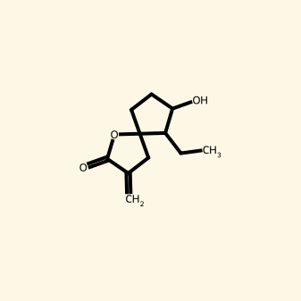 C=C1CC2(CCC(O)C2CC)OC1=O